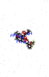 CC[C@H](CC(=O)N[C@@H](CC(C)(C)C)C(=O)NC(C[C@@H]1CCNC1=O)C(=O)C(=O)NC1CC1)c1ccccc1OC(F)F